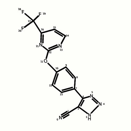 N#Cc1[nH]nnc1-c1ccc(Oc2nccc(C(F)(F)F)n2)cc1